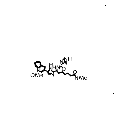 CNC(=O)CCCCCC(NC(=O)c1nc[nH]n1)c1ncc(-c2cc3ccccc3nc2OC)[nH]1